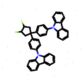 FC1CC(c2ccc(-n3c4ccccc4c4ccccc43)cc2)(c2ccc(-n3c4ccccc4c4ccccc43)cc2)CC1F